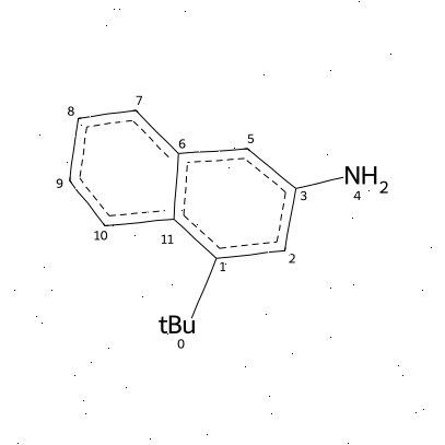 CC(C)(C)c1cc(N)cc2ccccc12